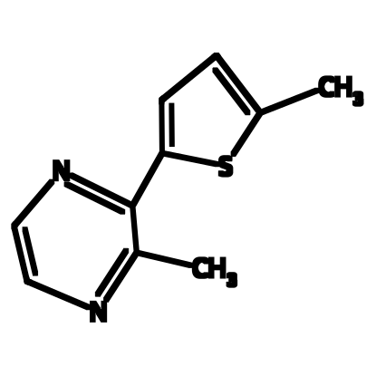 Cc1ccc(-c2nccnc2C)s1